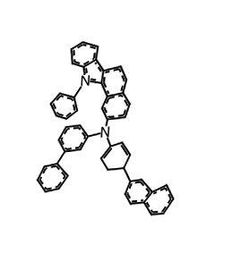 C1=CC(c2ccc3ccccc3c2)CC=C1N(c1cccc(-c2ccccc2)c1)c1ccc2ccc3c4ccccc4n(-c4ccccc4)c3c2c1